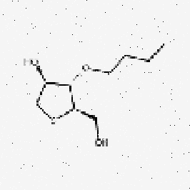 CCCCO[C@H]1[C@H](O)CS[C@@H]1CO